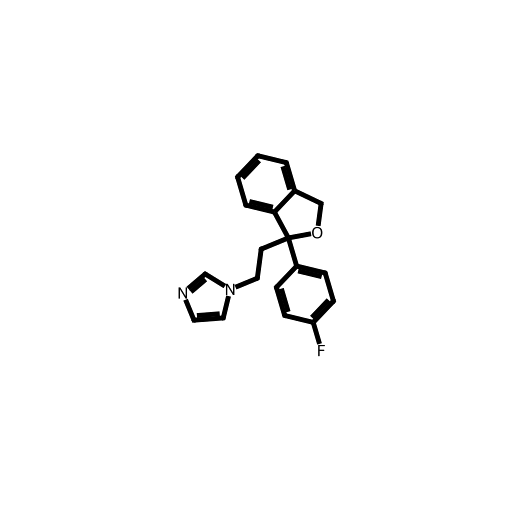 Fc1ccc(C2(CCn3ccnc3)OCc3ccccc32)cc1